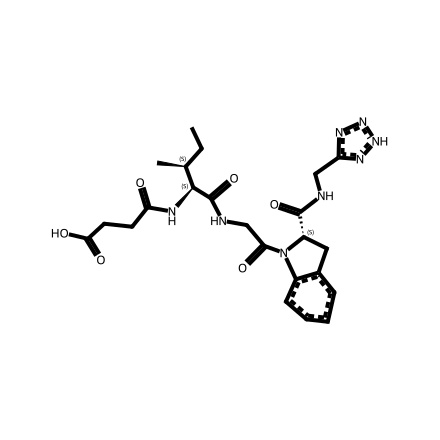 CC[C@H](C)[C@H](NC(=O)CCC(=O)O)C(=O)NCC(=O)N1c2ccccc2C[C@H]1C(=O)NCc1nn[nH]n1